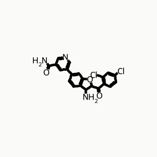 NC(=O)c1cncc(-c2ccc3c(c2)OC(C(=O)c2ccc(Cl)cc2Cl)C3N)c1